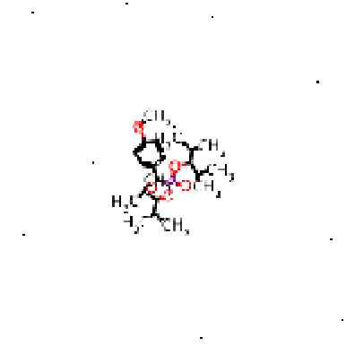 COc1ccc(C(=O)P(=O)(OC(C(C)C)C(C)C)OC(C(C)C)C(C)C)cc1